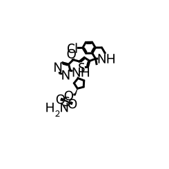 CC1(c2csc(C(=O)c3cncnc3N[C@H]3CC[C@@H](COS(N)(=O)=O)C3)c2)NCCc2ccc(Cl)cc21